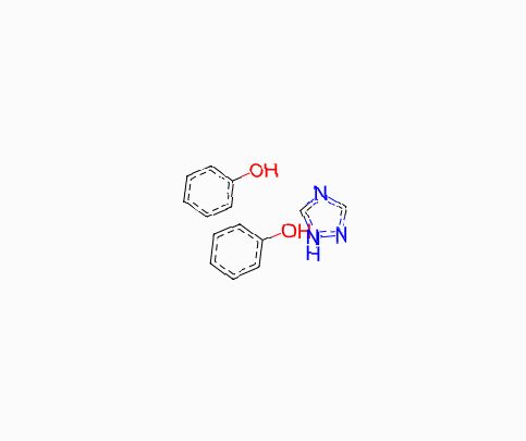 Oc1ccccc1.Oc1ccccc1.c1nc[nH]n1